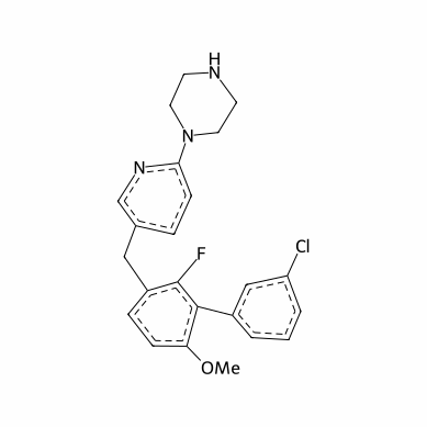 COc1ccc(Cc2ccc(N3CCNCC3)nc2)c(F)c1-c1cccc(Cl)c1